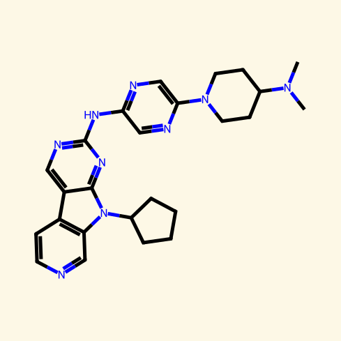 CN(C)C1CCN(c2cnc(Nc3ncc4c5ccncc5n(C5CCCC5)c4n3)cn2)CC1